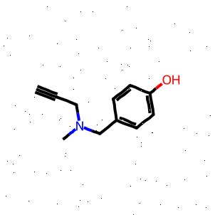 C#CCN(C)Cc1ccc(O)cc1